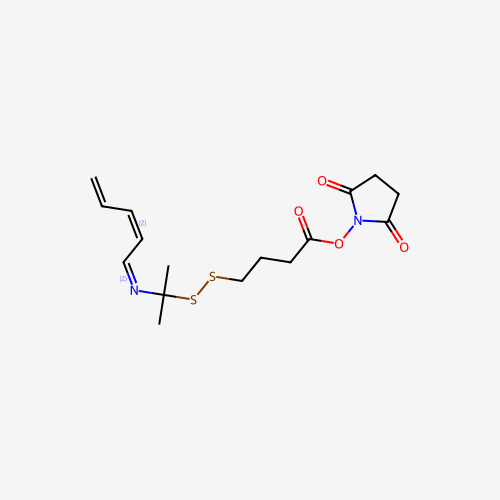 C=C/C=C\C=N/C(C)(C)SSCCCC(=O)ON1C(=O)CCC1=O